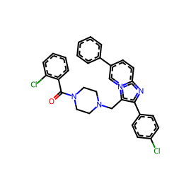 O=C(c1ccccc1Cl)N1CCN(Cc2c(-c3ccc(Cl)cc3)nc3ccc(-c4ccccc4)cn23)CC1